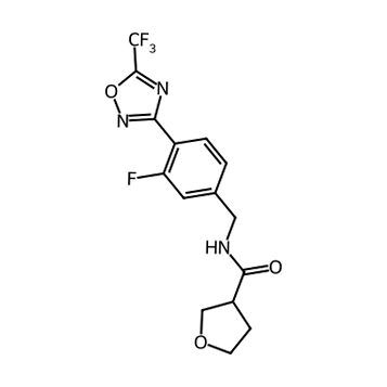 O=C(NCc1ccc(-c2noc(C(F)(F)F)n2)c(F)c1)C1CCOC1